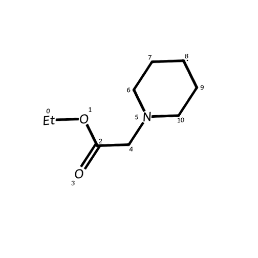 CCOC(=O)CN1CC[CH]CC1